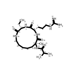 CC[C@@H]1NC(=O)[C@H](CCCNC(=N)N)NC(=O)[C@@](C)(NC(=O)C(C)C)CCCCCNC1=O